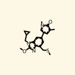 COc1nc2c(CSC)cc(-c3cc(C)c(=O)n(C)c3)cc2n1CC1CC1